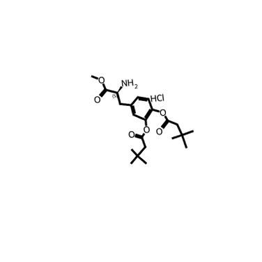 COC(=O)[C@@H](N)Cc1ccc(OC(=O)CC(C)(C)C)c(OC(=O)CC(C)(C)C)c1.Cl